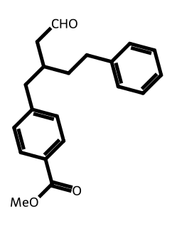 COC(=O)c1ccc(CC(CC=O)CCc2ccccc2)cc1